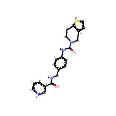 O=C(NCc1ccc(NC(=O)N2CCc3sccc3C2)cc1)c1cccnc1